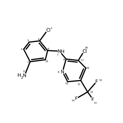 Nc1ccc(Cl)c(Nc2ncc(C(F)(F)F)cc2Cl)c1